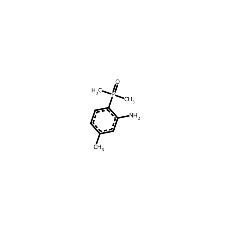 Cc1ccc(P(C)(C)=O)c(N)c1